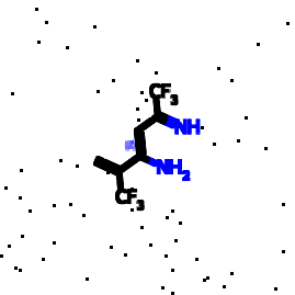 C=C(/C(N)=C/C(=N)C(F)(F)F)C(F)(F)F